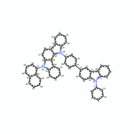 c1ccc(-n2c3ccccc3c3cc(-c4ccc(-n5c6ccccc6c6ccc7c(c8ccccc8n7-c7cccc8ccccc78)c65)cc4)ccc32)cc1